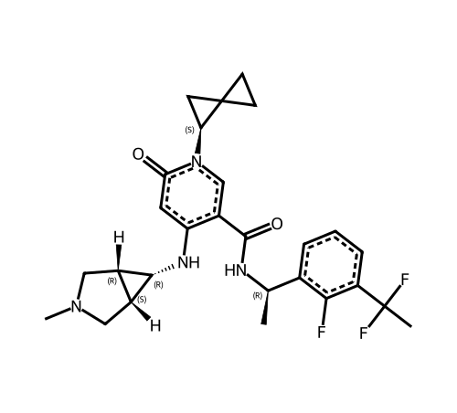 C[C@@H](NC(=O)c1cn([C@H]2CC23CC3)c(=O)cc1N[C@@H]1[C@@H]2CN(C)C[C@@H]21)c1cccc(C(C)(F)F)c1F